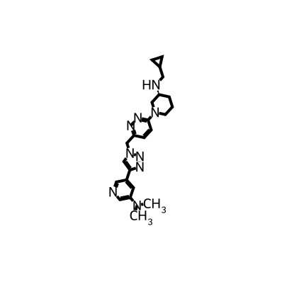 CN(C)c1cncc(-c2cn(Cc3ccc(N4CCC[C@@H](NCC5CC5)C4)nn3)nn2)c1